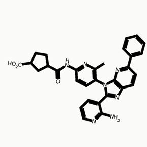 Cc1nc(NC(=O)C2CCC(C(=O)O)C2)ccc1-n1c(-c2cccnc2N)nc2ccc(-c3ccccc3)nc21